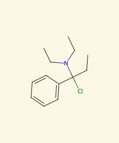 CCN(CC)C(Cl)(CC)c1ccccc1